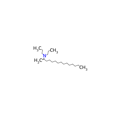 C=C(CCCCCCCCCCCCC)N(CCC)CCC